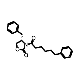 O=C(CCCCCc1ccccc1)N1C(=O)OC[C@@H]1Cc1ccccc1